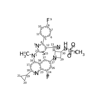 CN(c1nc(-c2ccc(F)cc2)c(C#N)s1)c1cc(C2CC2)nc2c(F)cc(N3CC(NS(C)(=O)=O)C3)cc12